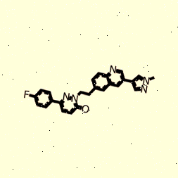 Cn1cc(-c2cnc3ccc(CCn4nc(-c5ccc(F)cc5)ccc4=O)cc3c2)cn1